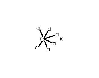 [Cl][Pd]([Cl])([Cl])([Cl])([Cl])[Cl].[K]